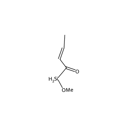 CC=CC(=O)[SiH2]OC